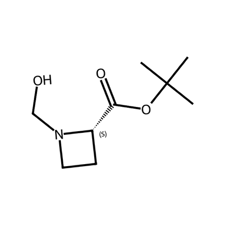 CC(C)(C)OC(=O)[C@@H]1CCN1CO